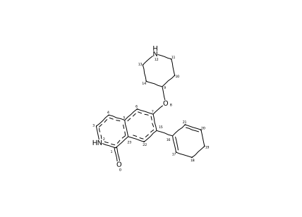 O=c1[nH]ccc2cc(OC3CCNCC3)c(C3=CCCC=C3)cc12